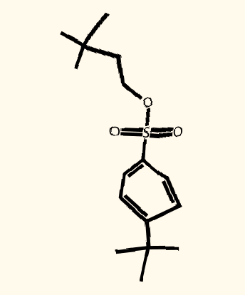 CC(C)(C)CCOS(=O)(=O)c1ccc(C(C)(C)C)cc1